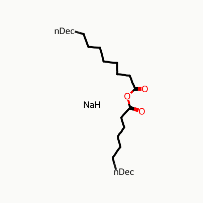 CCCCCCCCCCCCCCCCCC(=O)OC(=O)CCCCCCCCCCCCCCC.[NaH]